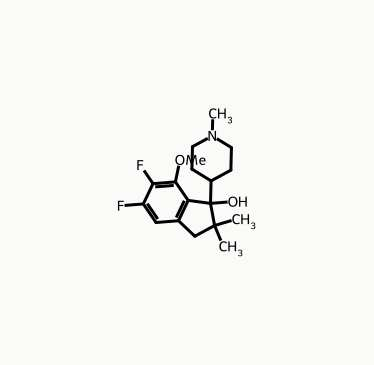 COc1c(F)c(F)cc2c1C(O)(C1CCN(C)CC1)C(C)(C)C2